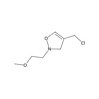 COCCN1CC(CCl)=CO1